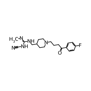 C/N=C(\NC#N)NCC1CCN(CCCC(=O)c2ccc(F)cc2)CC1